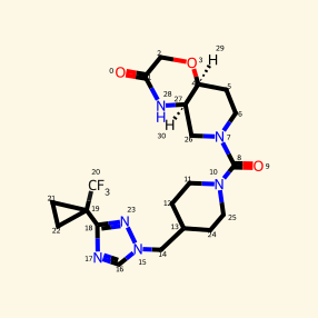 O=C1CO[C@H]2CCN(C(=O)N3CCC(Cn4cnc(C5(C(F)(F)F)CC5)n4)CC3)C[C@H]2N1